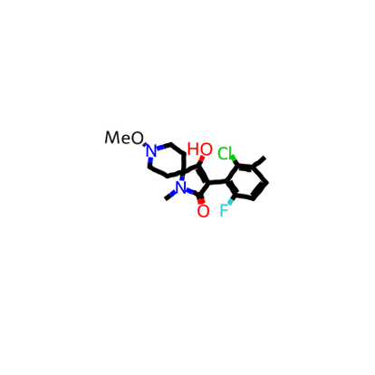 CON1CCC2(CC1)C(O)=C(c1c(F)ccc(C)c1Cl)C(=O)N2C